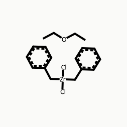 CCOCC.[Cl][Zr]([Cl])([CH2]c1ccccc1)[CH2]c1ccccc1